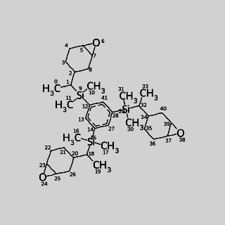 CC(C1CCC2OC2C1)[Si](C)(C)c1cc([Si](C)(C)C(C)C2CCC3OC3C2)cc([Si](C)(C)C(C)C2CCC3OC3C2)c1